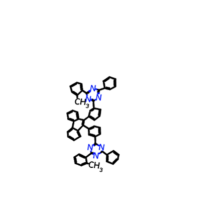 Cc1ccccc1-c1nc(-c2ccccc2)nc(-c2cccc(-c3c(-c4cccc(-c5nc(-c6ccccc6)nc(-c6ccccc6C)n5)c4)c4ccccc4c4ccccc34)c2)n1